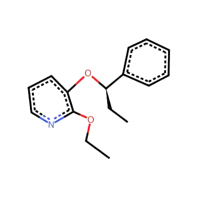 CCOc1ncccc1O[C@H](CC)c1ccccc1